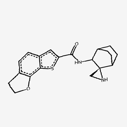 O=C(NC1C2CCC(CC2)[C@@]12CN2)c1cc2ccc3c(c2s1)OCC3